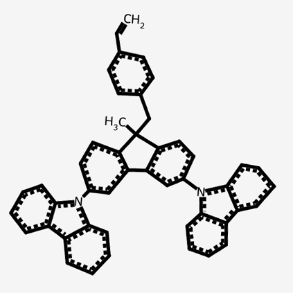 C=Cc1ccc(CC2(C)c3ccc(-n4c5ccccc5c5ccccc54)cc3-c3cc(-n4c5ccccc5c5ccccc54)ccc32)cc1